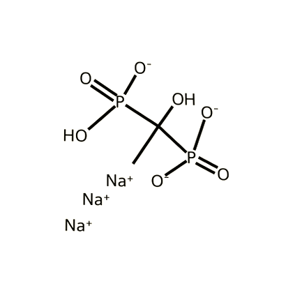 CC(O)(P(=O)([O-])[O-])P(=O)([O-])O.[Na+].[Na+].[Na+]